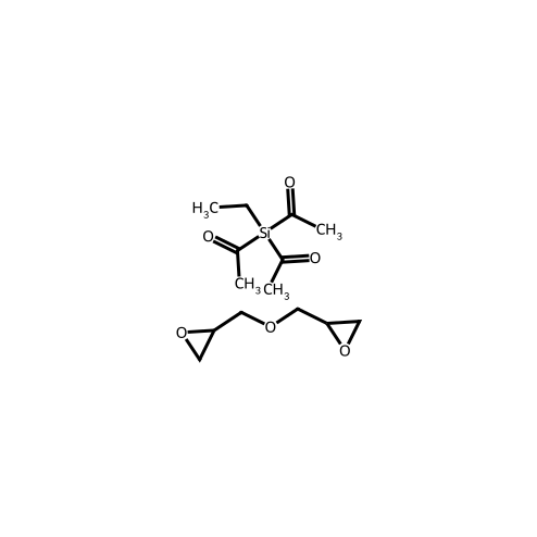 C(OCC1CO1)C1CO1.CC[Si](C(C)=O)(C(C)=O)C(C)=O